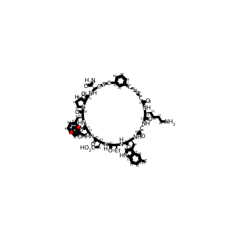 CC[C@@H]1NC(=O)[C@H](Cc2c[nH]c3ccc(F)cc23)NC(=O)CNC(=O)[C@H](CCCCN)NC(=O)CCSCc2cccc(c2)CSC[C@@H](C(N)=O)NC(=O)[C@]2(C)CCCN2C(=O)[C@H](Cc2cccc(O)c2)NC(=O)[C@H](Cc2cnc[nH]2)NC(=O)[C@H](CC(=O)O)NC1=O